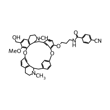 COc1c(CO)cc2c3c1Oc1ccc4c(c1)C(Cc1ccc(cc1)Oc1cc(ccc1OCCCNC(=O)c1ccc(C#N)cc1)CC3N(C)CC2)N(C)CC4